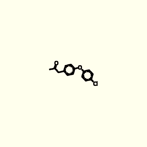 CC(=O)Cc1ccc(Oc2ccc(Cl)cc2)cc1